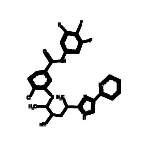 CCCC(CC(C)c1nc(-c2ccccn2)c[nH]1)C(C)Sc1cc(C(=O)Nc2cc(F)c(F)c(F)c2)ccc1Cl